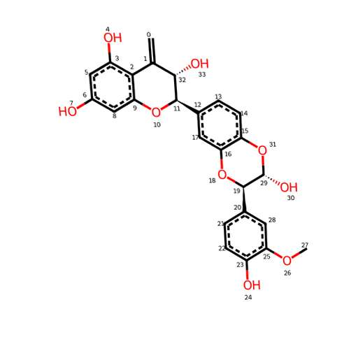 C=C1c2c(O)cc(O)cc2O[C@H](c2ccc3c(c2)O[C@H](c2ccc(O)c(OC)c2)[C@@H](O)O3)[C@H]1O